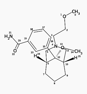 COCCN1C[C@H]2CCC[C@@H](C1)[C@]2(OC)c1cccc(C(N)=O)c1